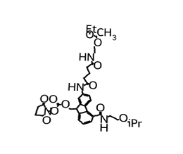 CCOC(C)OCCNC(=O)CCCC(=O)Nc1ccc2c(c1)C(COC(=O)ON1C(=O)CCC1=O)c1cccc(C(=O)NCCOC(C)C)c1-2